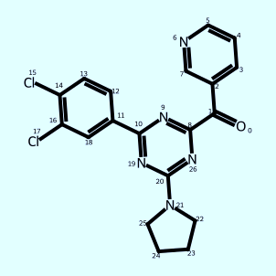 O=C(c1cccnc1)c1nc(-c2ccc(Cl)c(Cl)c2)nc(N2CCCC2)n1